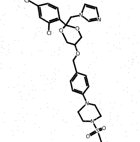 CS(=O)(=O)N1CCN(c2ccc(COC3COC(Cn4ccnc4)(c4ccc(Cl)cc4Cl)OC3)cc2)CC1